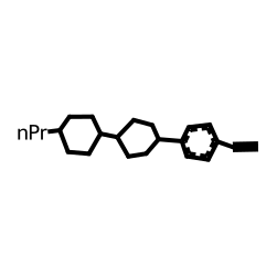 C#Cc1ccc(C2CCC(C3CCC(CCC)CC3)CC2)cc1